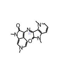 CN1C(=O)/C(=N\c2c3ccn(C)cc-3n(C)c2=O)c2c1ccc[n+]2C